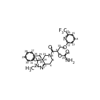 CN1N=C2CCN(C(=O)C(COc3cccc(C(F)(F)F)n3)OC(N)=O)C[C@@]2(Cc2ccccc2)C1=O